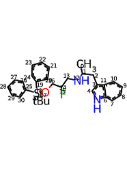 CC(Cc1c[nH]c2ccccc12)NCC(F)CO[Si](c1ccccc1)(c1ccccc1)C(C)(C)C